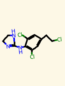 ClCCc1cc(Cl)c(NC2=NCCN2)c(Cl)c1